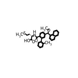 COC(c1ccc(C(=O)N[C@@H](CCSC)C(=O)O)c(-c2ccccc2C)c1)c1cccc2ccccc12